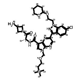 C[C@@H](NC(=O)c1cn(COCC[Si](C)(C)C)c2ncc(-c3nn(CCOC4CCCCO4)c4cc(Cl)ccc34)nc12)C(=O)N1CC(N)C1